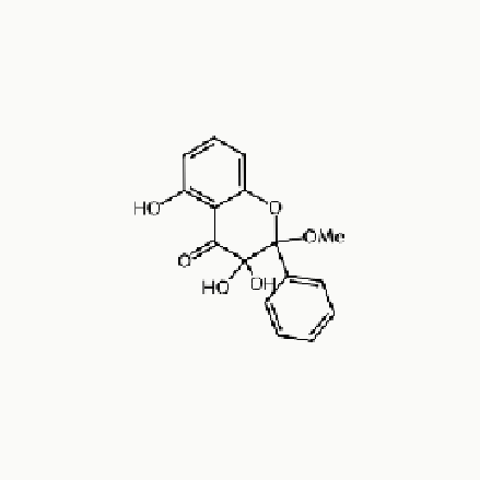 COC1(c2ccccc2)Oc2cccc(O)c2C(=O)C1(O)O